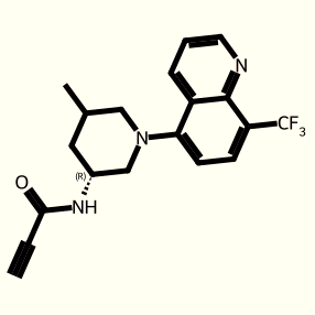 C#CC(=O)N[C@@H]1CC(C)CN(c2ccc(C(F)(F)F)c3ncccc23)C1